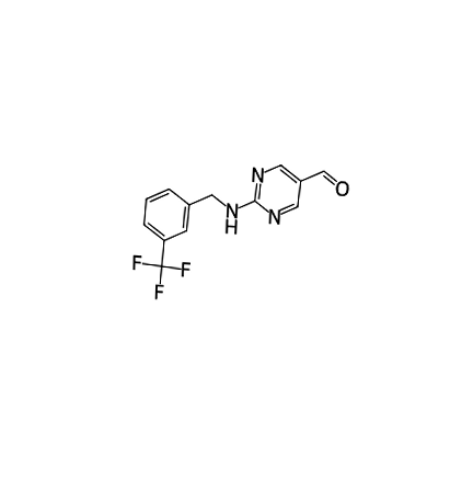 O=Cc1cnc(NCc2cccc(C(F)(F)F)c2)nc1